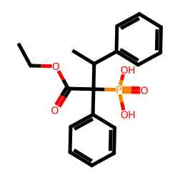 CCOC(=O)C(c1ccccc1)(C(C)c1ccccc1)P(=O)(O)O